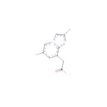 COC(=O)Cc1cc(Br)cn2cc(C)nc12